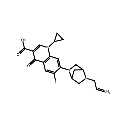 C=CCN1CC2CC1CN2c1cc2c(cc1F)c(=O)c(C(=O)O)cn2C1CC1